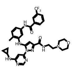 Cc1ccc(NC(=O)c2cccc(C(F)(F)F)c2)cc1Nc1cc(C(=O)NCCN2CCOCC2)nn1-c1cc(NC2CC2)ncn1